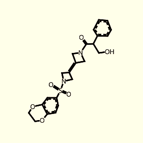 O=C(C(CO)c1ccccc1)N1CC(=C2CN(S(=O)(=O)c3ccc4c(c3)OCCO4)C2)C1